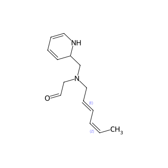 C/C=C\C=C\CN(CC=O)CC1C=CC=CN1